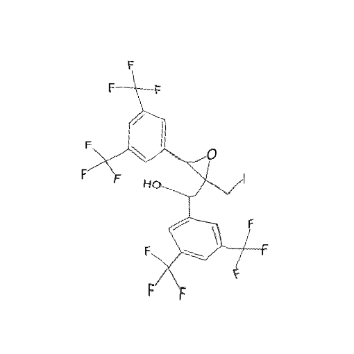 OC(c1cc(C(F)(F)F)cc(C(F)(F)F)c1)C1(CI)OC1c1cc(C(F)(F)F)cc(C(F)(F)F)c1